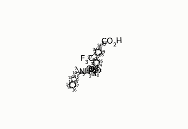 CN(CC(O)CNC(C)(C)CC1Cc2ccccc2C1)S(=O)(=O)c1ccc(-c2ccc(CCC(=O)O)cc2)c(C(F)(F)F)c1